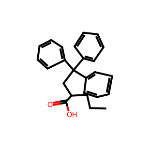 CCCC(CC(c1ccccc1)(c1ccccc1)c1ccccc1)C(=O)O